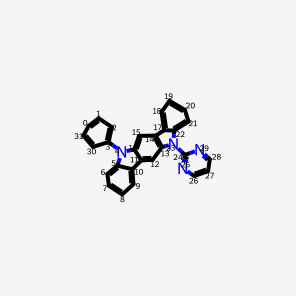 c1ccc(-n2c3ccccc3c3cc4c(cc32)c2ccccc2n4-c2ncccn2)cc1